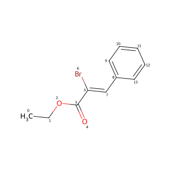 CCOC(=O)C(Br)=Cc1ccccc1